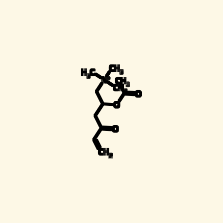 C=CC(=O)CC(C[N+](C)(C)C)OC(C)=O